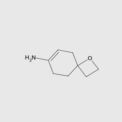 NC1=CCC2(CCO2)CC1